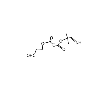 CC(C)(C=N)OC(=O)OC(=O)OCCC=O